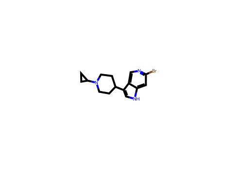 Brc1cc2[nH]cc(C3CCN(C4CC4)CC3)c2cn1